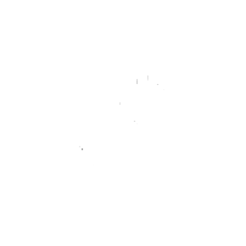 NC(c1ccc(C(F)(F)F)c(F)c1)C(O)c1ccc(-c2cncc(F)c2)cc1